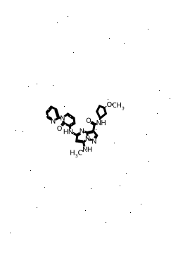 CNc1cc(Nc2cccn(-c3ccccn3)c2=O)nc2c(C(=O)N[C@H]3CC[C@H](OC)C3)cnn12